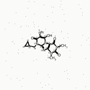 CCCc1c(O)n2c3c(=O)n(C)c(=O)n(C)c3nc2n(CC2CC2)c1=O